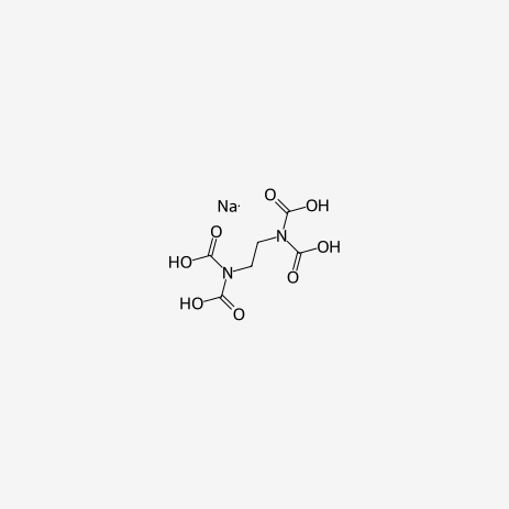 O=C(O)N(CCN(C(=O)O)C(=O)O)C(=O)O.[Na]